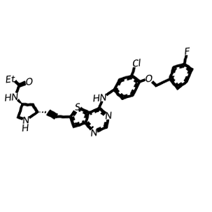 CCC(=O)N[C@@H]1CN[C@@H](C#Cc2cc3ncnc(Nc4ccc(OCc5cccc(F)c5)c(Cl)c4)c3s2)C1